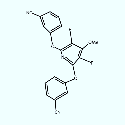 COc1c(F)c(Oc2cccc(C#N)c2)nc(Oc2cccc(C#N)c2)c1F